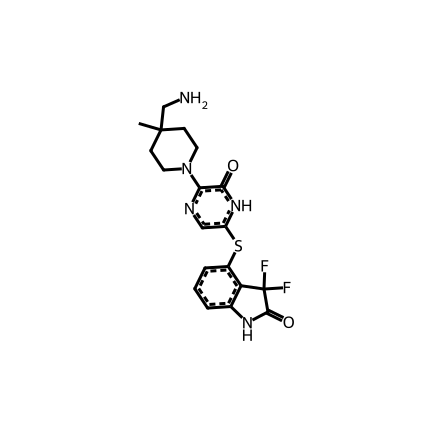 CC1(CN)CCN(c2ncc(Sc3cccc4c3C(F)(F)C(=O)N4)[nH]c2=O)CC1